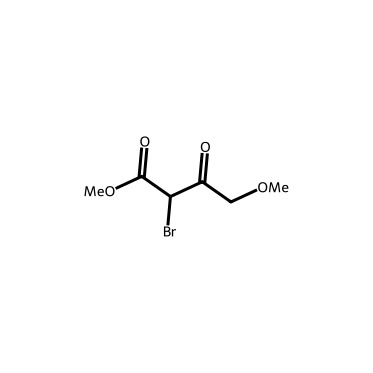 COCC(=O)C(Br)C(=O)OC